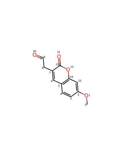 COc1ccc2cc(C[C]=O)c(=O)oc2c1